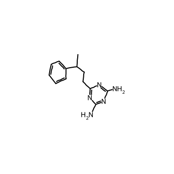 CC(CCc1nc(N)nc(N)n1)c1ccccc1